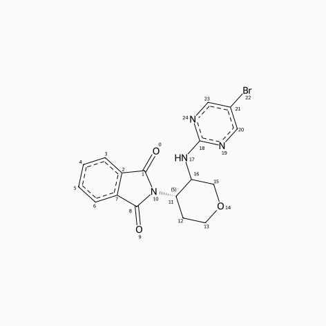 O=C1c2ccccc2C(=O)N1[C@H]1CCOCC1Nc1ncc(Br)cn1